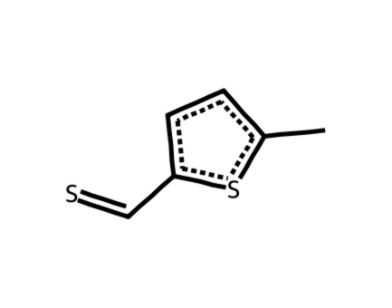 Cc1ccc(C=S)s1